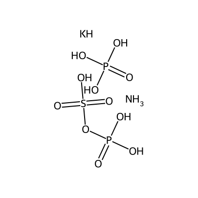 N.O=P(O)(O)O.O=P(O)(O)OS(=O)(=O)O.[KH]